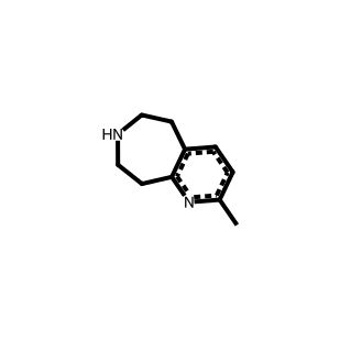 Cc1ccc2c(n1)CCNCC2